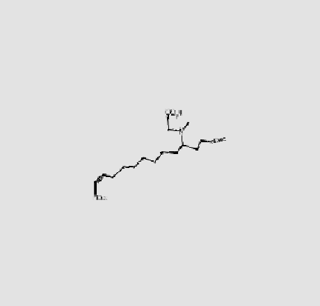 CCCCCCCC/C=C\CCCCCCCC(CCCCCCCCCCCC)N(C)CC(=O)O